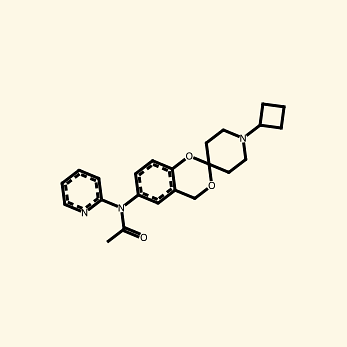 CC(=O)N(c1ccc2c(c1)COC1(CCN(C3CCC3)CC1)O2)c1ccccn1